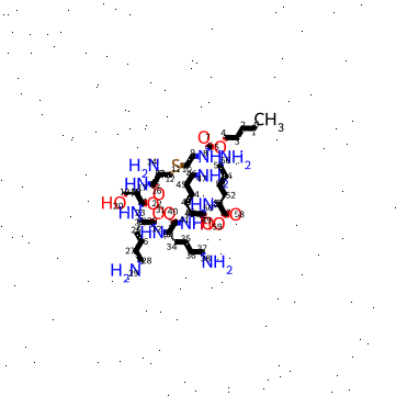 CCCCCOC(=O)NCCSC[C@@H](N)C(=O)N[C@H](CO)C(=O)N[C@@H](CCCCN)C(=O)N[C@@H](CCCCN)C(=O)N[C@@H](CCCCN)C(=O)N[C@@H](CCCCN)C(=O)O